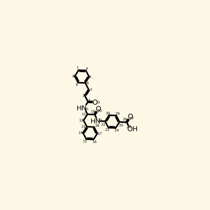 O=C(C=Cc1ccccc1)NC(Cc1ccccc1)C(=O)Nc1ccc(C(=O)O)cc1